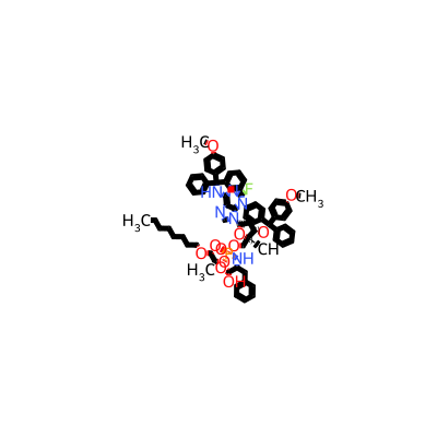 C#C[C@]1(COP(=O)(NC(Cc2ccccc2)C(=O)O)OC(C)C(=O)OCCCCCCCC)O[C@@H](n2cnc3c(NC(c4ccccc4)(c4ccccc4)c4ccc(OC)cc4)nc(F)nc32)C[C@@H]1OC(c1ccccc1)(c1ccccc1)c1ccc(OC)cc1